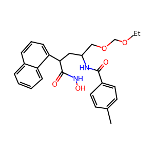 CCOCOCC(CC(C(=O)NO)c1cccc2ccccc12)NC(=O)c1ccc(C)cc1